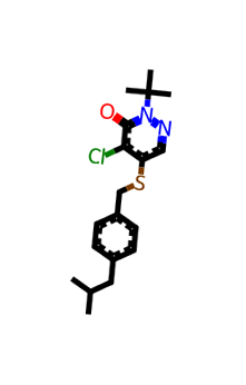 CC(C)Cc1ccc(CSc2cnn(C(C)(C)C)c(=O)c2Cl)cc1